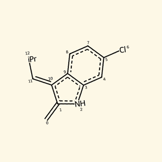 C=c1[nH]c2cc(Cl)ccc2c1=CC(C)C